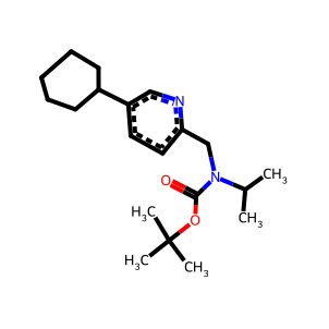 CC(C)N(Cc1ccc(C2CCCCC2)cn1)C(=O)OC(C)(C)C